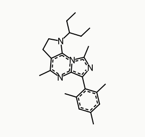 CCC(CC)N1CCc2c(C)nc3c(-c4c(C)cc(C)cc4C)nc(C)n3c21